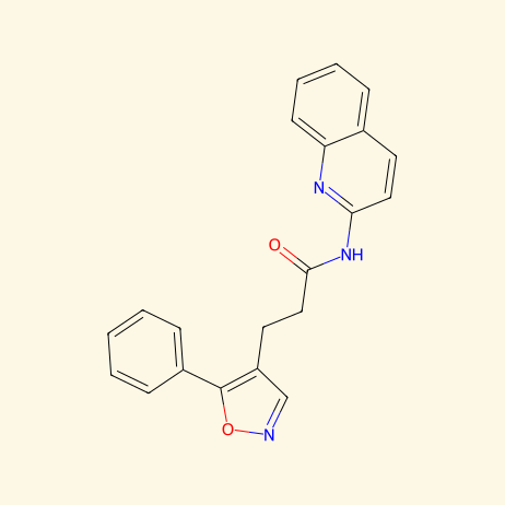 O=C(CCc1cnoc1-c1ccccc1)Nc1ccc2ccccc2n1